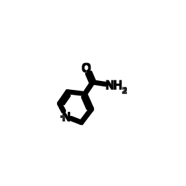 NC(=O)C1=CC[N]C=C1